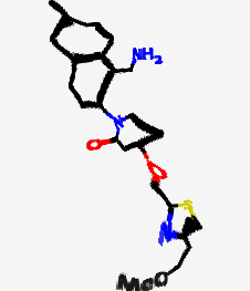 COCc1csc(COc2ccn(C3=C(CN)c4ccc(C)cc4CC3)c(=O)c2)n1